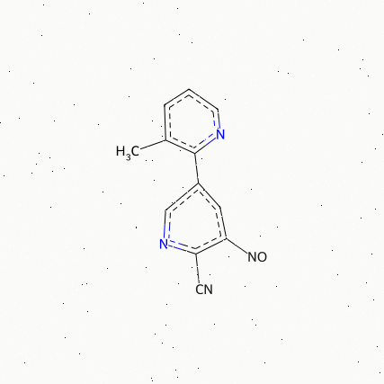 Cc1cccnc1-c1cnc(C#N)c(N=O)c1